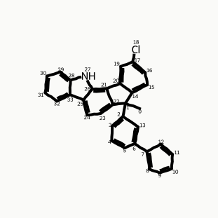 CC1(c2cccc(-c3ccccc3)c2)c2ccc(Cl)cc2-c2c1ccc1c2[nH]c2ccccc21